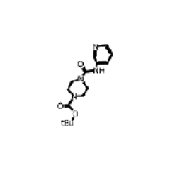 CC(C)(C)OC(=O)N1CCN(C(=O)Nc2cccnc2)CC1